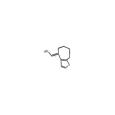 CCC/C=C1\CCCCc2sccc21